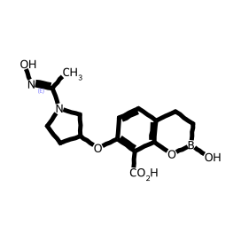 C/C(=N\O)N1CCC(Oc2ccc3c(c2C(=O)O)OB(O)CC3)C1